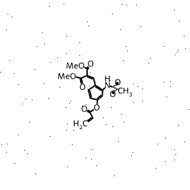 C=CC(=O)Oc1ccc(C=C(C(=O)OC)C(=O)OC)c(NS(C)(=O)=O)c1